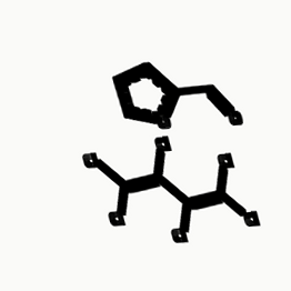 ClC(Cl)=C(Cl)C(Cl)=C(Cl)Cl.O=Cc1ccco1